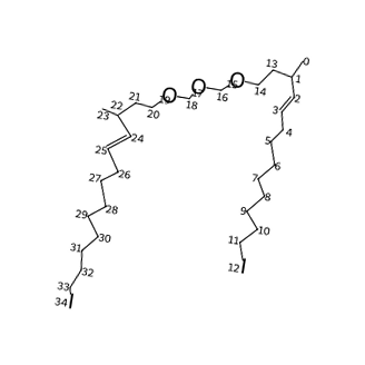 CC(C=CCCCCCCCCI)CCOCOCOCCC(C)C=CCCCCCCCCI